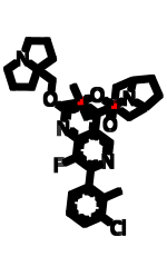 Cc1c(Cl)cccc1-c1ncc2c(N3CC4CCC(C3)N4C(=O)OC(C)(C)C)nc(OCC34CCCN3CCC4)nc2c1F